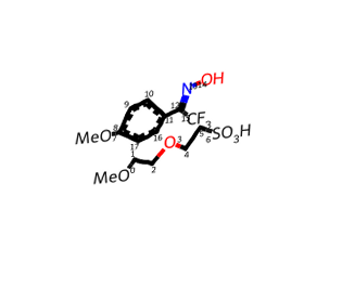 COCCOCCS(=O)(=O)O.COc1ccc(/C(=N/O)C(F)(F)F)cc1